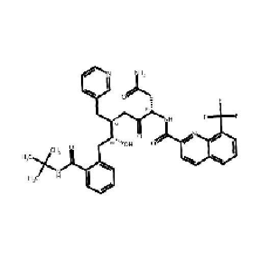 CC(C)(C)NC(=O)c1ccccc1C[C@@H](O)[C@H](CC(=O)[C@H](CC(N)=O)NC(=O)c1ccc2cccc(C(F)(F)F)c2n1)Cc1cccnc1